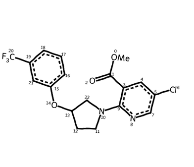 COC(=O)c1cc(Cl)cnc1N1CCC(Oc2cccc(C(F)(F)F)c2)C1